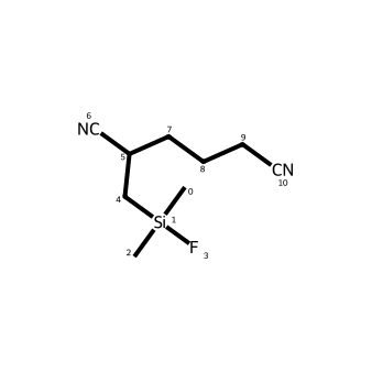 C[Si](C)(F)CC(C#N)CCCC#N